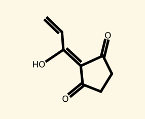 C=CC(O)=C1C(=O)CCC1=O